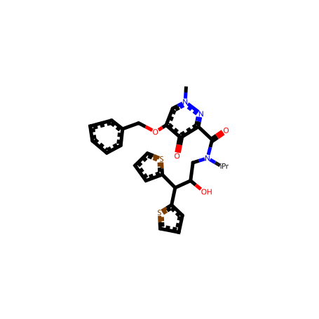 CC(C)N(CC(O)C(c1cccs1)c1cccs1)C(=O)c1nn(C)cc(OCc2ccccc2)c1=O